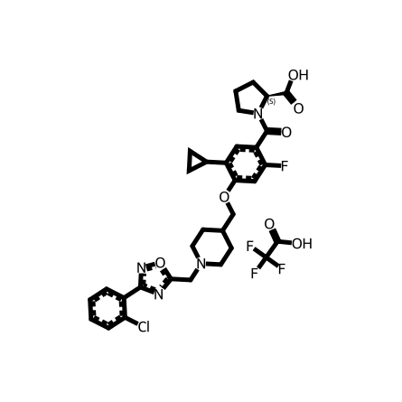 O=C(O)C(F)(F)F.O=C(O)[C@@H]1CCCN1C(=O)c1cc(C2CC2)c(OCC2CCN(Cc3nc(-c4ccccc4Cl)no3)CC2)cc1F